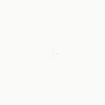 CCB[SH](C)(C)(C)CC